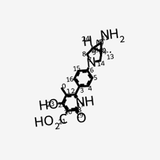 Cc1c(-c2ccc(N3C[C@H]4[C@H](N)[C@@]4(C)C3)cc2)[nH]c(=O)c(C(=O)O)c1O